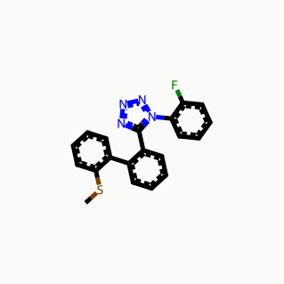 CSc1ccccc1-c1ccccc1-c1nnnn1-c1ccccc1F